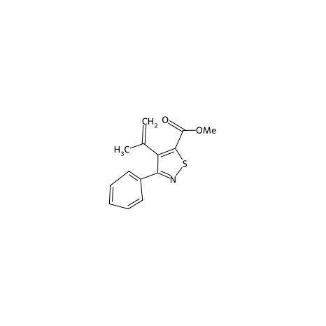 C=C(C)c1c(-c2ccccc2)nsc1C(=O)OC